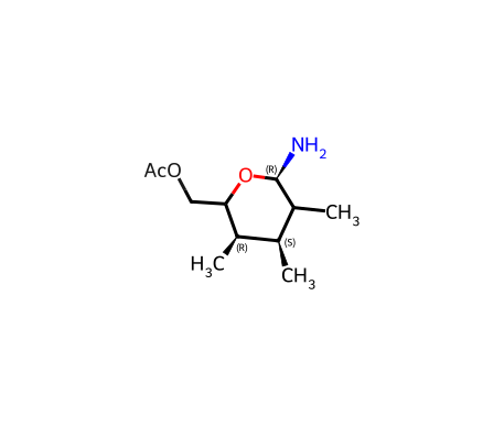 CC(=O)OCC1O[C@@H](N)C(C)[C@@H](C)[C@H]1C